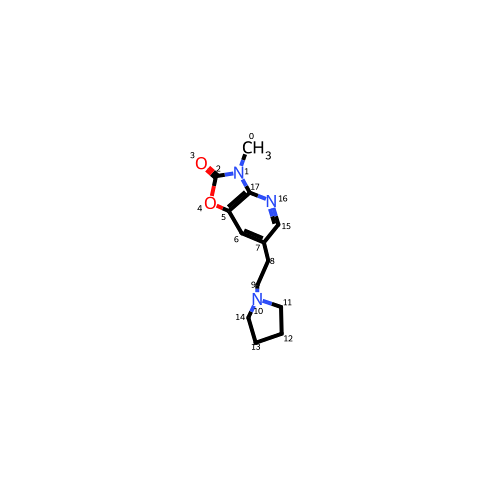 Cn1c(=O)oc2cc(CCN3CCCC3)cnc21